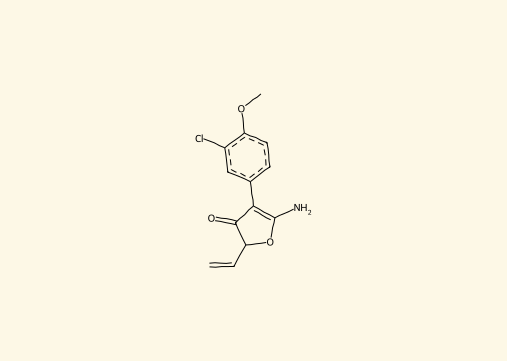 C=CC1OC(N)=C(c2ccc(OC)c(Cl)c2)C1=O